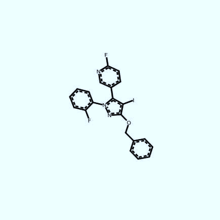 Fc1ccc(-c2c(I)c(OCc3ccccc3)nn2-c2ccccc2F)cn1